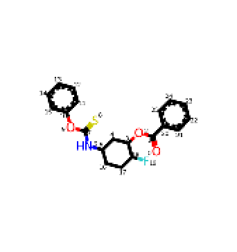 O=C(OC1CC(NC(=S)Oc2ccccc2)CCC1F)c1ccccc1